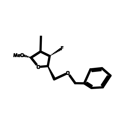 CO[C@H]1O[C@H](COCc2ccccc2)[C@@H](F)C1C